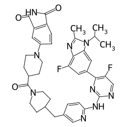 Cc1nc2c(F)cc(-c3nc(Nc4ccc(CC5CCN(C(=O)C6CCN(c7ccc8c(c7)C(=O)NC8=O)CC6)CC5)cn4)ncc3F)cc2n1C(C)C